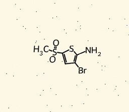 CS(=O)(=O)c1cc(Br)c(N)s1